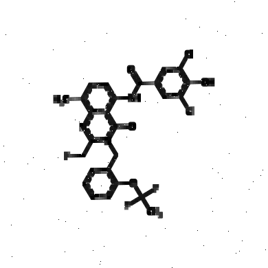 Cc1ccc(NC(=O)c2cc(Cl)c(O)c(Cl)c2)c2c(=O)n(Cc3ccccc3OC(C)(F)F)c(CF)nc12